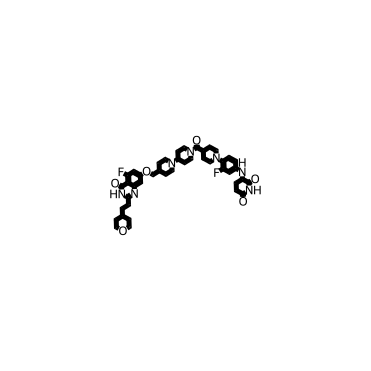 O=C1CCC(Nc2ccc(N3CCC(C(=O)N4CCC(N5CCC(COc6cc(F)c7c(=O)[nH]c(CCC8CCOCC8)nc7c6)CC5)CC4)CC3)c(F)c2)C(=O)N1